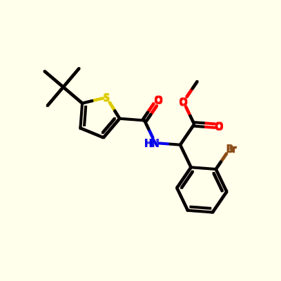 COC(=O)C(NC(=O)c1ccc(C(C)(C)C)s1)c1ccccc1Br